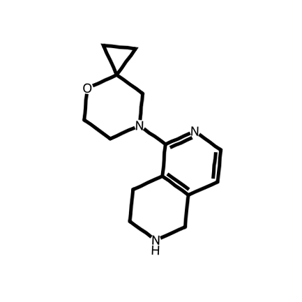 c1cc2c(c(N3CCOC4(CC4)C3)n1)CCNC2